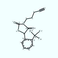 C#CCCCN1C(=O)SC(c2ccccc2C(F)(F)F)C1=O